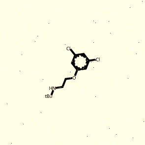 CC(C)(C)NCCOc1cc(Cl)cc(Cl)c1